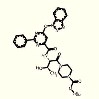 CCCCOC(=O)N1CCN(C(=O)[C@@H](NC(=O)c2cc(On3nnc4ccccc43)nc(-c3ccccc3)n2)[C@@H](C)O)CC1